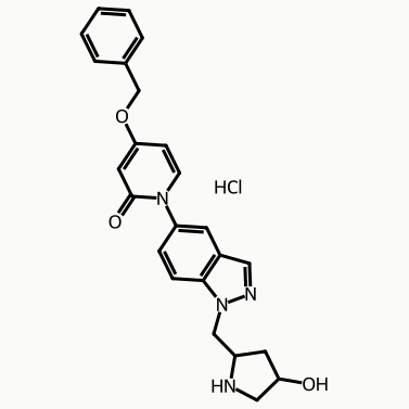 Cl.O=c1cc(OCc2ccccc2)ccn1-c1ccc2c(cnn2CC2CC(O)CN2)c1